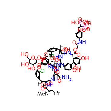 CN[C@H](CC(C)C)C(=O)N[C@H]1C(=O)N[C@@H](CC(N)=O)C(=O)N[C@H]2C(=O)N[C@H]3C(=O)N[C@H](C(=O)N[C@H](C(=O)OCC(=O)Nc4ccc(CC(P(=O)(O)O)P(=O)(O)O)cc4)c4cc(O)cc(O)c4-c4cc3ccc4O)[C@H](O)c3ccc(c(Cl)c3)Oc3cc2cc(c3O[C@@H]2O[C@H](CO)[C@@H](O)[C@H](O)[C@H]2O[C@H]2C[C@](C)(N)[C@@H](O)[C@H](C)O2)Oc2ccc(cc2Cl)[C@H]1O